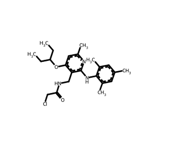 CCC(CC)Oc1cc(C)nc(Nc2c(C)cc(C)cc2C)c1CNC(=O)CCl